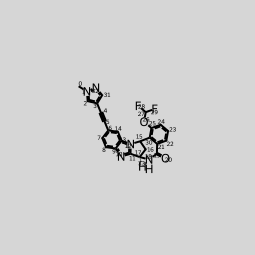 Cn1cc(C#Cc2ccc3nc4n(c3c2)C2C[C@H]4NC(=O)c3cccc(OC(F)F)c32)cn1